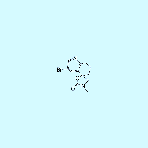 CN1CC2(CCCc3ncc(Br)cc32)OC1=O